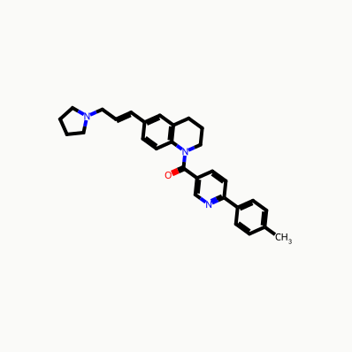 Cc1ccc(-c2ccc(C(=O)N3CCCc4cc(/C=C/CN5CCCC5)ccc43)cn2)cc1